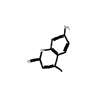 Bc1ccc2c(C)cc(=O)oc2c1